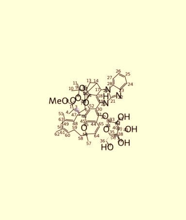 COC(=O)/C(C)=C\CC12OC(C)(C)C3CC(C1=O)C1C4=C(Nc5nc6ccccc6n51)c1c(O[C@H]5O[C@@H](CO)[C@H](O)[C@@H](O)[C@@H]5O)c5c(c(CC=C(C)C)c1OC432)OC(C)(CCC=C(C)C)C=C5